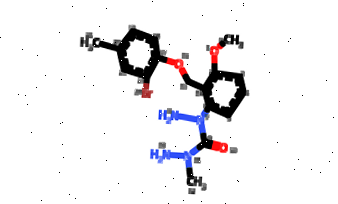 COc1cccc(N(N)C(=O)N(C)N)c1COc1ccc(C)cc1Br